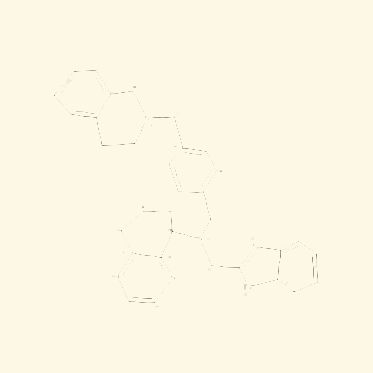 c1ccc2c(c1)CCN(Cc1ccc(CN(Cc3nc4ccccc4[nH]3)C3CCCc4cccnc43)cc1)C2